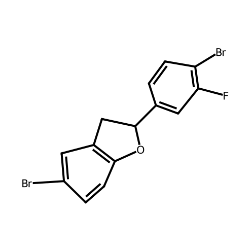 Fc1cc(C2Cc3cc(Br)ccc3O2)ccc1Br